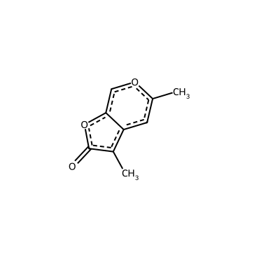 Cc1cc2c(C)c(=O)oc-2co1